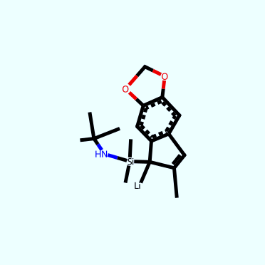 [Li][C]1([Si](C)(C)NC(C)(C)C)C(C)=Cc2cc3c(cc21)OCO3